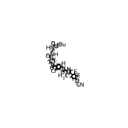 Cn1c(-c2ccc(OCC#N)c(F)c2F)cnc1C(=O)Nc1ccc(C(=O)N2CCN(C(=O)NCCNC(=O)OC(C)(C)C)CC2)c(Cl)c1